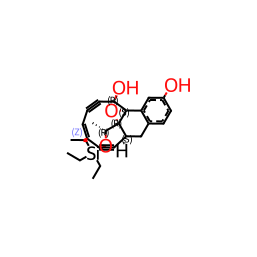 CC[Si](CC)(CC)O[C@H](C)[C@@]12O[C@]13c1cc(O)ccc1C[C@H]2C#C/C=C\C#C[C@H]3O